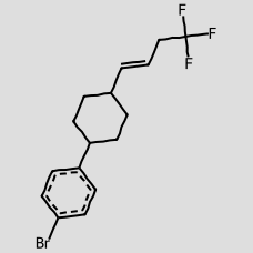 FC(F)(F)C/C=C/C1CCC(c2ccc(Br)cc2)CC1